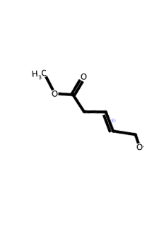 COC(=O)C/C=C/C[O]